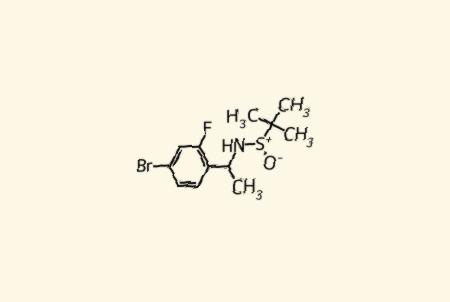 CC(N[S@+]([O-])C(C)(C)C)c1ccc(Br)cc1F